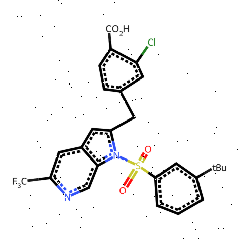 CC(C)(C)c1cccc(S(=O)(=O)n2c(Cc3ccc(C(=O)O)c(Cl)c3)cc3cc(C(F)(F)F)ncc32)c1